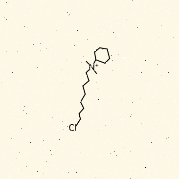 C[N+](C)(CCCCCCCCCl)C1CCCCC1